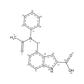 CC(=O)N(Cc1cccc2[nH]c(C(=O)O)cc12)c1ccccc1